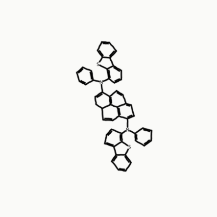 C1=CC2CC=C(N(c3ccccc3)c3cccc4c3sc3ccccc34)c3ccc4ccc(N(c5ccccc5)c5cccc6c5sc5ccccc56)c1c4c32